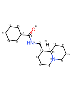 O=C(NC[C@@H]1CCCN2CCCC[C@H]12)C1CCCCC1